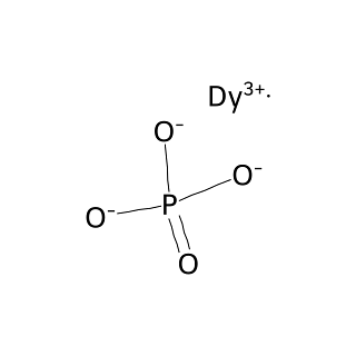 O=P([O-])([O-])[O-].[Dy+3]